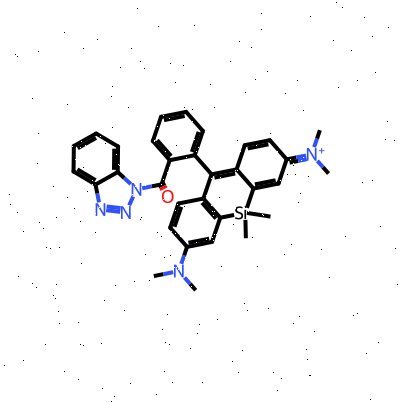 CN(C)c1ccc2c(c1)[Si](C)(C)C1=CC(=[N+](C)C)C=CC1=C2c1ccccc1C(=O)n1nnc2ccccc21